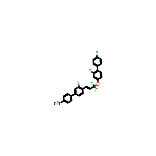 CCCc1ccc(-c2ccc(/C=C/C(F)(F)Oc3ccc(-c4ccc(F)cc4)c(F)c3)c(F)c2)cc1